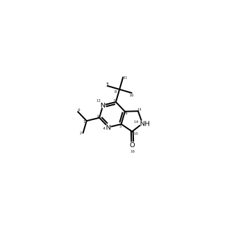 CC(C)c1nc2c(c(C(C)(C)C)n1)CNC2=O